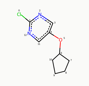 Clc1ncc(OC2CCCC2)cn1